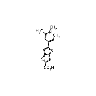 C=N/C(C)=C\C(=C/C)c1cc2sc(C(=O)O)cc2s1